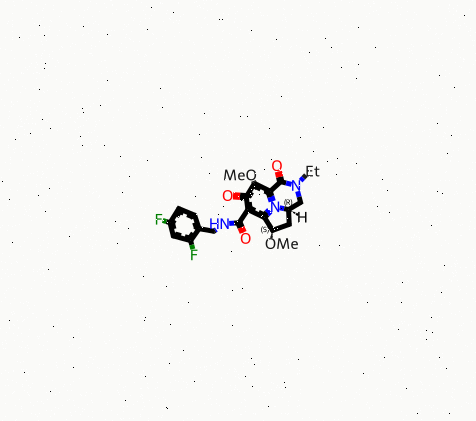 CCN1C[C@H]2C[C@H](OC)c3c(C(=O)NCc4ccc(F)cc4F)c(=O)c(OC)c(n32)C1=O